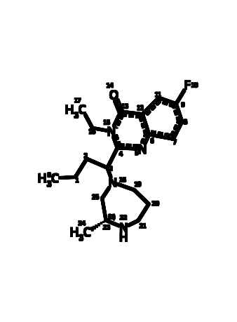 CCCC(c1nc2ccc(F)cc2c(=O)n1CC)N1CCCN[C@H](C)C1